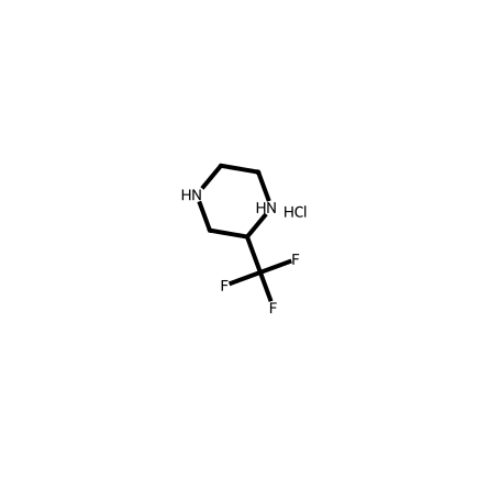 Cl.FC(F)(F)C1CNCCN1